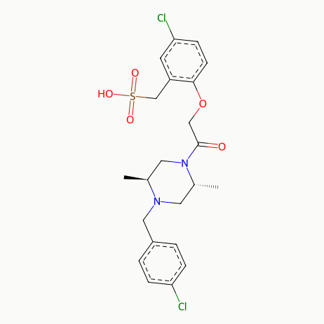 C[C@@H]1CN(Cc2ccc(Cl)cc2)[C@@H](C)CN1C(=O)COc1ccc(Cl)cc1CS(=O)(=O)O